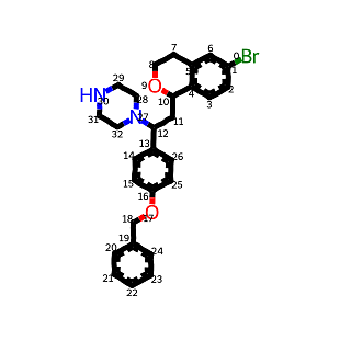 Brc1ccc2c(c1)CCOC2CC(c1ccc(OCc2ccccc2)cc1)N1CCNCC1